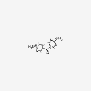 Nc1ccc(C(=O)c2ccc(N)nc2)cn1